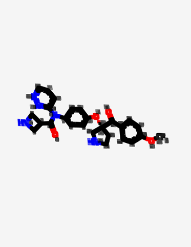 O=C(C1CNC1)N(c1ccc(O[C@]2(C(=O)c3ccc(OC(F)(F)F)cc3)CCNC2)cc1)c1cccnn1